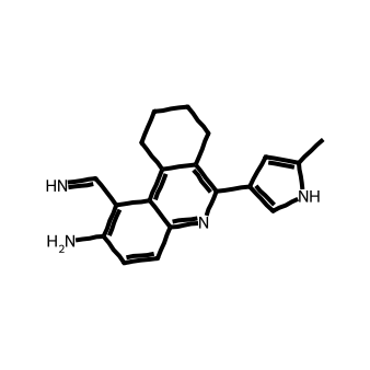 Cc1cc(-c2nc3ccc(N)c(C=N)c3c3c2CCCC3)c[nH]1